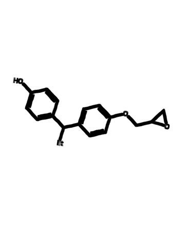 CCC(c1ccc(O)cc1)c1ccc(OCC2CO2)cc1